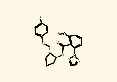 COc1cccc(-n2nccn2)c1C(=O)N[C@H]1CCC[C@@H]1COc1ccc(F)cc1